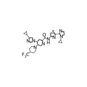 O=C(Nc1csc(-c2nccn2C2CC2)n1)c1cc(-n2cnc(C3CC3)c2)c(N2CCC(C(F)(F)F)CC2)cn1